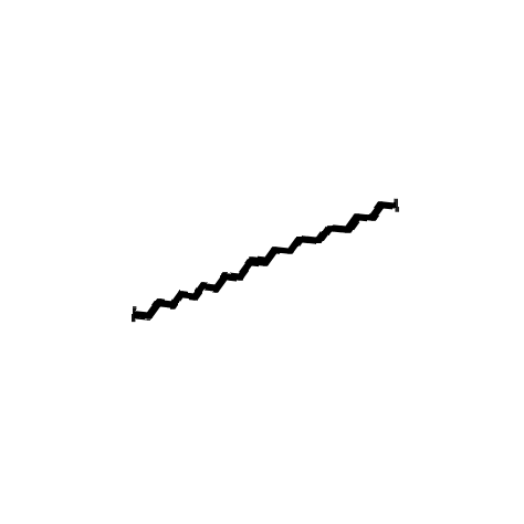 ICCCCCCCCCC=CCCCCCCCCCI